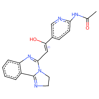 CC(=O)Nc1ccc(/C(O)=C/C2=Nc3ccccc3C3=NCCN23)cn1